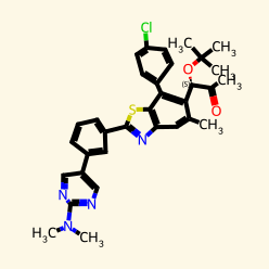 CC(=O)[C@@H](OC(C)(C)C)c1c(C)cc2nc(-c3cccc(-c4cnc(N(C)C)nc4)c3)sc2c1-c1ccc(Cl)cc1